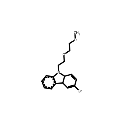 COCCOCCN1c2ccccc2C2C=C(Br)C=CC21